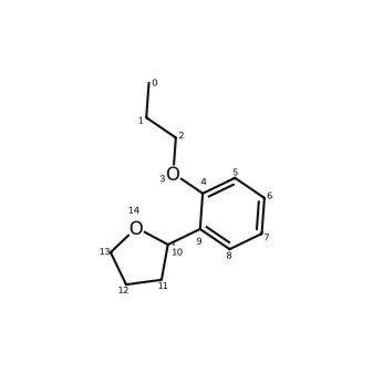 CCCOc1ccccc1[C]1CCCO1